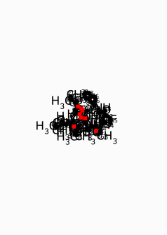 Cc1ccccc1C[C@H](NC(=O)[C@H](CCC(=O)OC(C)(C)C)NC(=O)[C@H](CC(=O)OC(C)(C)C)NC(=O)CCC(=O)OC(C)(C)C)C(=O)N[C@H](C(=O)N[C@@H](CC(C)C)C(=O)NC(CC(F)(F)F)C(=O)C(=O)N[C@@H](C)c1ccc2ccccc2c1)C(C)(C)C